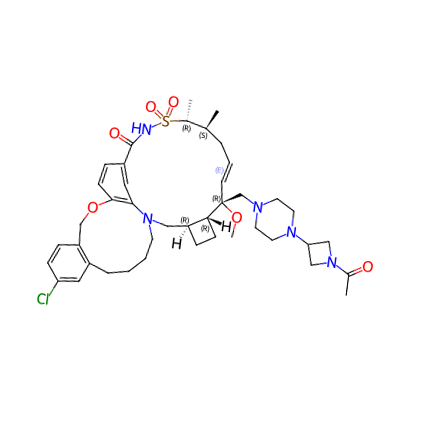 CO[C@@]1(CN2CCN(C3CN(C(C)=O)C3)CC2)/C=C/C[C@H](C)[C@@H](C)S(=O)(=O)NC(=O)c2ccc3c(c2)N(CCCCc2cc(Cl)ccc2CO3)C[C@@H]2CC[C@H]21